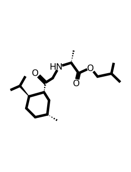 CC(C)COC(=O)[C@@H](C)NCC(=O)[C@@H]1C[C@H](C)CC[C@H]1C(C)C